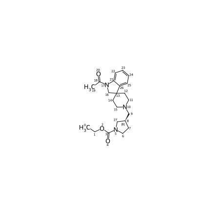 CCOC(=O)N1CC[C@H](CN2CCC3(CC2)CN(C(C)=O)c2ccccc23)C1